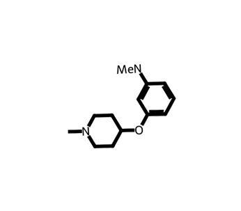 CNc1cccc(OC2CCN(C)CC2)c1